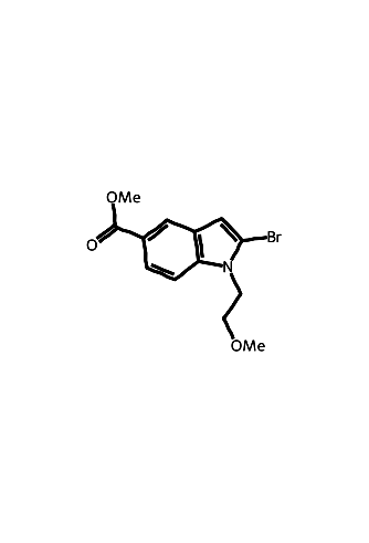 COCCn1c(Br)cc2cc(C(=O)OC)ccc21